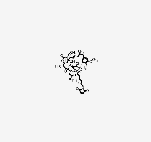 CNC(=O)C[C@H](OC(=O)[C@H](C)N(C)S(=O)(=O)CCCCCCN1C(=O)C=CC1=O)[C@]1(C)OC1[C@H](C)[C@@H]1C[C@](O)([C@@H](/C=C/C=C(\C)Cc2ccc(Cl)c(OC)c2)OC)NC(=O)O1